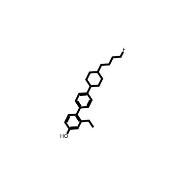 CCc1cc(O)ccc1-c1ccc(C2CCC(CCCCF)CC2)cc1